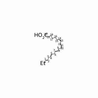 CC/C=C/C/C=C/C/C=C/C/C=C\C/C=C\CCCCCC(=O)O